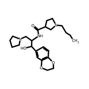 CCCCN1CCC(C(=O)NC(CN2CCCC2)C(O)c2ccc3c(c2)OCCO3)C1